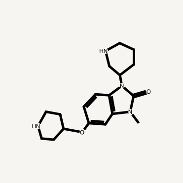 Cn1c(=O)n(C2CCCNC2)c2ccc(OC3CCNCC3)cc21